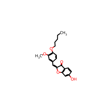 CCCCCOc1ccc(C=C2Oc3cc(O)ccc3C2=O)cc1OC